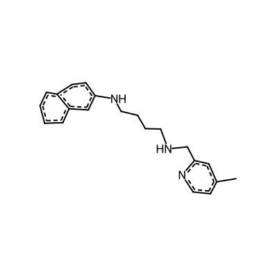 Cc1ccnc(CNCCCCNc2ccc3ccccc3c2)c1